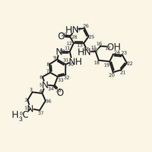 CN1CCC(N2Cc3cc4nc(-c5c(N[C@@H](CO)Cc6ccccc6)cc[nH]c5=O)[nH]c4cc3C2=O)CC1